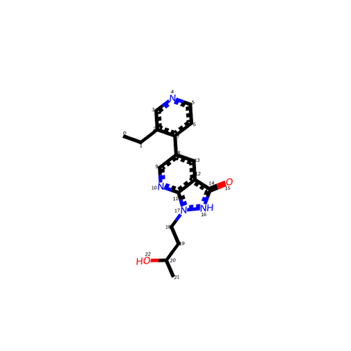 CCc1cnccc1-c1cnc2c(c1)c(=O)[nH]n2CCC(C)O